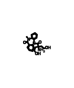 CN1C(=O)c2ccccc2N(C(=O)C(N)(CCO)CCO)c2ccccc21